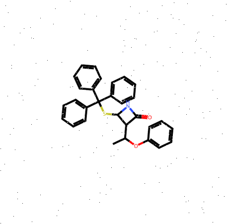 CC(Oc1ccccc1)C1C(=O)NC1SC(c1ccccc1)(c1ccccc1)c1ccccc1